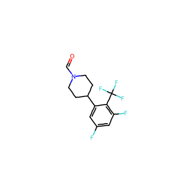 O=CN1CCC(c2cc(F)cc(F)c2C(F)(F)F)CC1